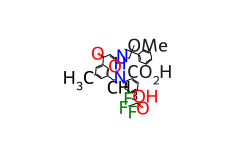 COC1(c2ccccc2)CN(c2cc(=O)c3cc(C)cc(C(C)Nc4ccccc4C(=O)O)c3o2)C1.O=C(O)C(F)(F)F